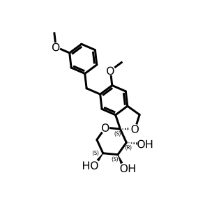 COc1cccc(Cc2cc3c(cc2OC)CO[C@]32OC[C@H](O)[C@H](O)[C@H]2O)c1